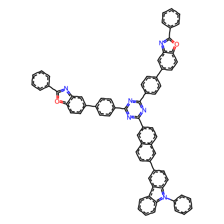 c1ccc(-c2nc3cc(-c4ccc(-c5nc(-c6ccc(-c7ccc8oc(-c9ccccc9)nc8c7)cc6)nc(-c6ccc7cc(-c8ccc9c(c8)c8ccccc8n9-c8ccccc8)ccc7c6)n5)cc4)ccc3o2)cc1